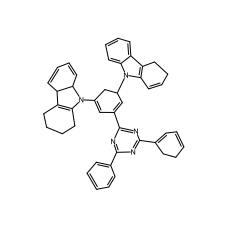 C1=CCCC(c2nc(C3=CC(n4c5c(c6ccccc64)CCC=C5)CC(N4C5=C(CCCC5)C5C=CC=CC54)=C3)nc(-c3ccccc3)n2)=C1